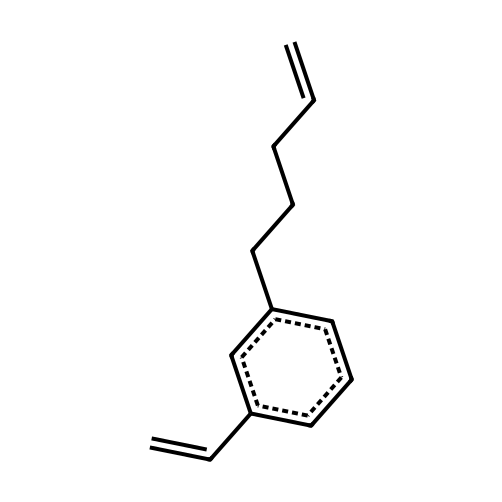 C=CCCCc1cccc(C=C)c1